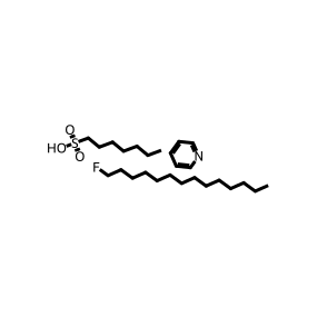 CCCCCCCCCCCCCCF.CCCCCCCS(=O)(=O)O.c1ccncc1